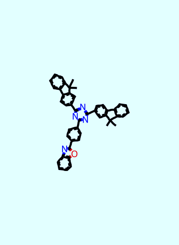 CC1(C)c2ccccc2-c2ccc(-c3nc(-c4ccc(-c5nc6ccccc6o5)cc4)nc(-c4ccc5c(c4)C(C)(C)c4ccccc4-5)n3)cc21